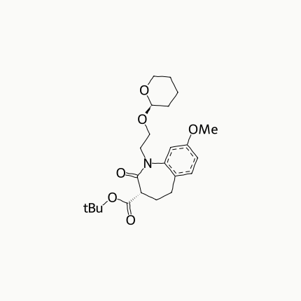 COc1ccc2c(c1)N(CCO[C@@H]1CCCCO1)C(=O)[C@@H](C(=O)OC(C)(C)C)CC2